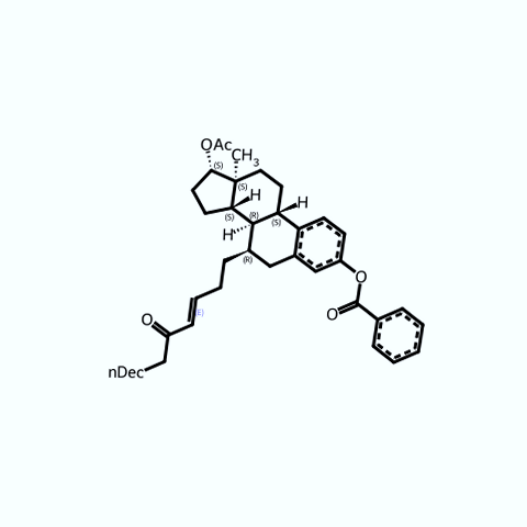 CCCCCCCCCCCC(=O)/C=C/CC[C@@H]1Cc2cc(OC(=O)c3ccccc3)ccc2[C@H]2CC[C@]3(C)[C@@H](OC(C)=O)CC[C@H]3[C@H]12